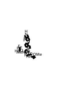 CNc1cc(N2CCc3c(CN4CCC5(CCNCC5)C(F)(F)C4)cccc32)nn2c(C(=O)N[C@@H]3CC[C@H]3OC)cnc12.O=C(O)C(F)(F)F